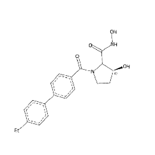 CCc1ccc(-c2ccc(C(=O)N3CC[C@H](O)C3C(=O)NO)cc2)cc1